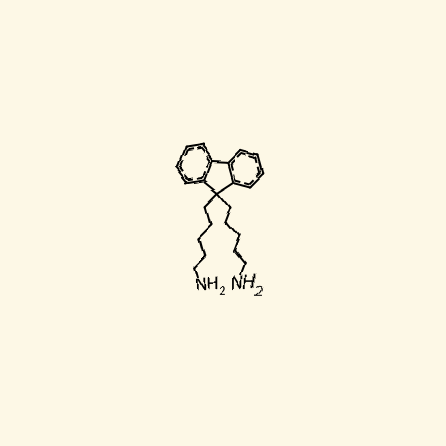 NCCCCCC1(CCCCCN)c2ccccc2-c2ccccc21